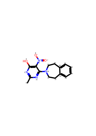 Cc1nc(O)c([N+](=O)[O-])c(N2CCc3ccccc3CC2)n1